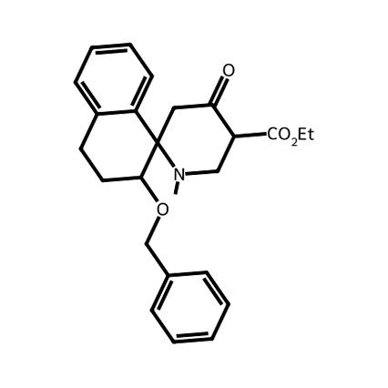 CCOC(=O)C1CN(C)C2(CC1=O)c1ccccc1CCC2OCc1ccccc1